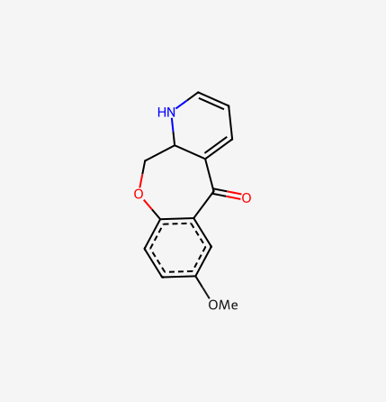 COc1ccc2c(c1)C(=O)C1=CC=CNC1CO2